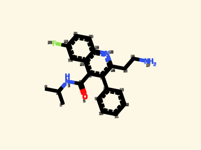 CC(C)NC(=O)c1c(-c2ccccc2)c(CCN)nc2ccc(F)cc12